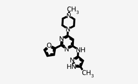 Cc1cc(Nc2cc(N3CCN(C)CC3)nc(-c3ccco3)n2)n[nH]1